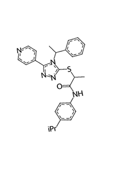 CC(Sc1nnc(-c2ccncc2)n1C(C)c1ccccc1)C(=O)Nc1ccc(C(C)C)cc1